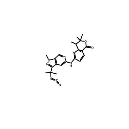 CC1c2nc(Nc3cc4c(C(C)(C)N=[N+]=[N-])nn(C)c4cn3)ccc2C(=O)OC1(C)C